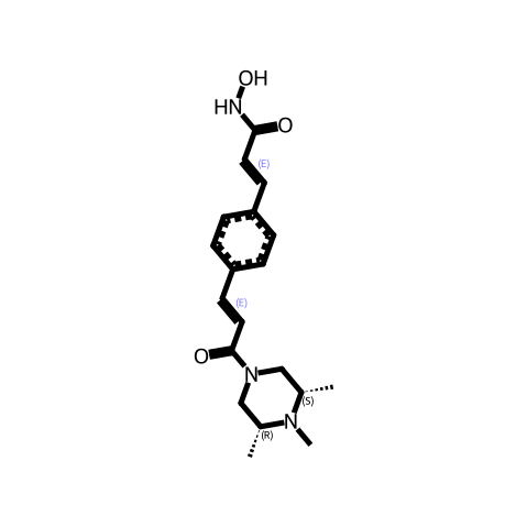 C[C@@H]1CN(C(=O)/C=C/c2ccc(/C=C/C(=O)NO)cc2)C[C@H](C)N1C